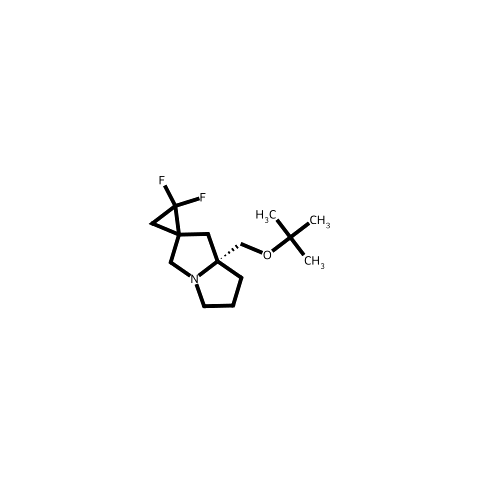 CC(C)(C)OC[C@]12CCCN1CC1(CC1(F)F)C2